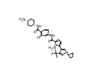 Cn1c(-c2cn(C3CCC3)nc2C(F)(F)F)cnc1C(=O)Nc1ccc(C(=O)N[C@H]2CC[C@@H](N)CC2)c(Cl)c1